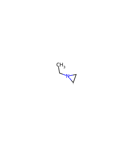 CCN1[CH]C1